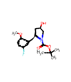 COc1ccc(F)cc1[C@H]1CC(O)CN1C(=O)OC(C)(C)C